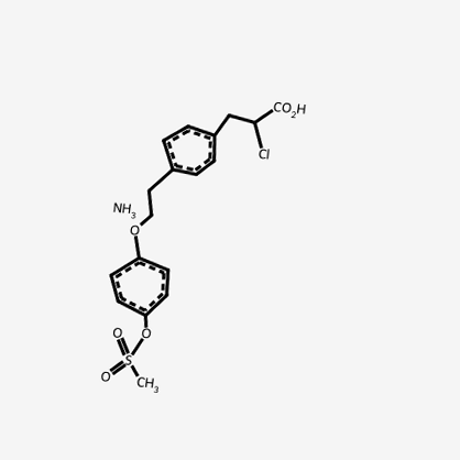 CS(=O)(=O)Oc1ccc(OCCc2ccc(CC(Cl)C(=O)O)cc2)cc1.N